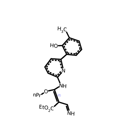 CCCO/C(Nc1cccc(-c2cccc(C)c2O)n1)=C(/C=N)C(=O)OCC